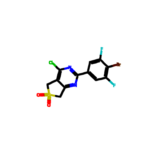 O=S1(=O)Cc2nc(-c3cc(F)c(Br)c(F)c3)nc(Cl)c2C1